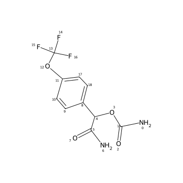 NC(=O)OC(C(N)=O)c1ccc(OC(F)(F)F)cc1